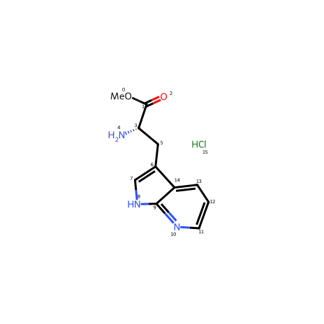 COC(=O)[C@@H](N)Cc1c[nH]c2ncccc12.Cl